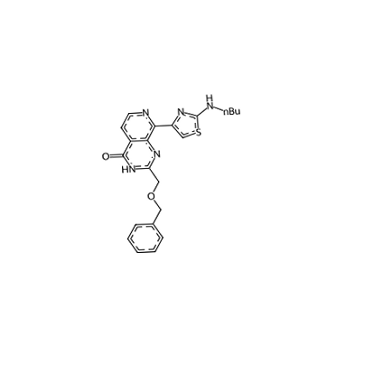 CCCCNc1nc(-c2nccc3c(=O)[nH]c(COCc4ccccc4)nc23)cs1